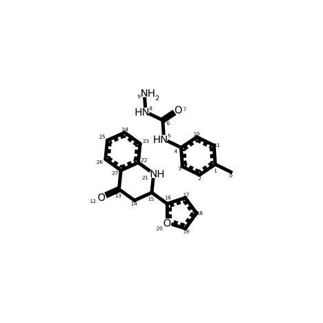 Cc1ccc(NC(=O)NN)cc1.O=C1CC(c2ccco2)Nc2ccccc21